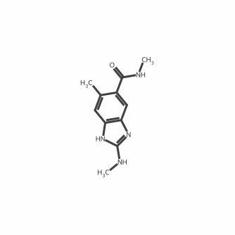 CNC(=O)c1cc2nc(NC)[nH]c2cc1C